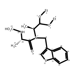 CCOC(OCC)[C@H](C)N(Cc1csc2ccccc12)C(=O)[C@H](C)NC(=O)O